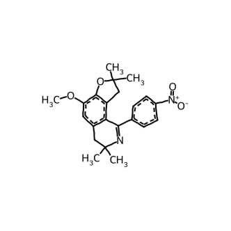 COc1cc2c(c3c1OC(C)(C)C3)C(c1ccc([N+](=O)[O-])cc1)=NC(C)(C)C2